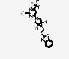 FC(F)(F)c1cc(N2C[C@@H]3[C@H](CSc4nc5ccccc5s4)[C@@H]3C2)nc(Cl)n1